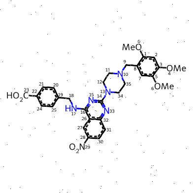 COc1cc(OC)c(OC)cc1CN1CCN(c2nc(NCc3ccc(C(=O)O)cc3)c3cc([N+](=O)[O-])ccc3n2)CC1